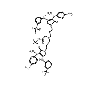 CC(C)(C)OC(=O)CN(CCCN1CC(Nc2cccc(C(F)(F)F)c2)=C([C@H](N)c2ccc(N)cc2)C1=O)CCCN1CC(Nc2cccc(C(F)(F)F)c2)=C([C@H](N)c2ccc(N)cc2)C1=O